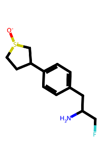 NC(CF)Cc1ccc(C2CC[S+]([O-])C2)cc1